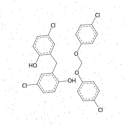 Clc1ccc(OCOc2ccc(Cl)cc2)cc1.Oc1ccc(Cl)cc1Cc1cc(Cl)ccc1O